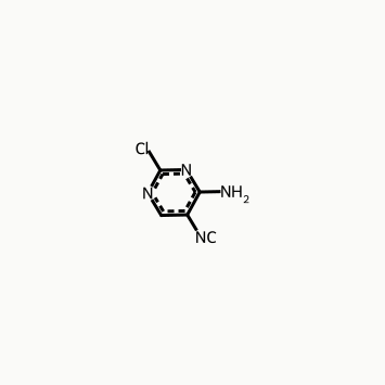 [C-]#[N+]c1cnc(Cl)nc1N